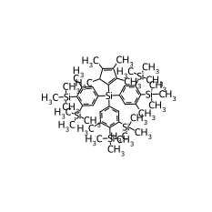 CC1=C(C)C(C)C([Si](c2cc(C)c([Si](C)(C)C)c([Si](C)(C)C)c2)(c2cc(C)c([Si](C)(C)C)c([Si](C)(C)C)c2)c2cc(C)c([Si](C)(C)C)c([Si](C)(C)C)c2)=C1C